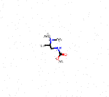 CCC(CNC(=O)OC(C)(C)C)N(OC(C)=O)OC(C)=O